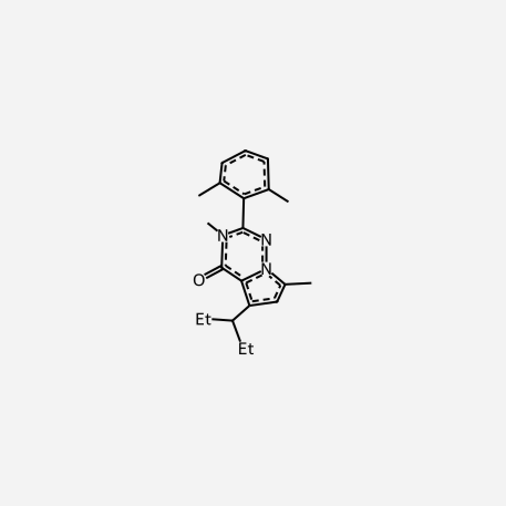 CCC(CC)c1cc(C)n2nc(-c3c(C)cccc3C)n(C)c(=O)c12